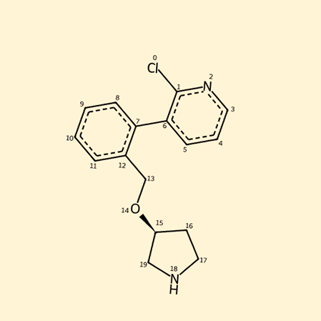 Clc1ncccc1-c1ccccc1CO[C@H]1CCNC1